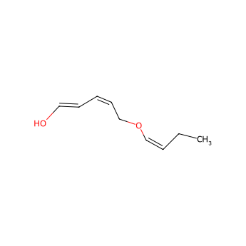 CC/C=C\OC/C=C\C=C\O